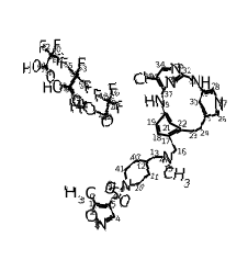 Cc1oncc1S(=O)(=O)N1CCC(CN(C)Cc2ccc3cc2CCc2cncc(c2)Nc2ncc(Cl)c(n2)N3)CC1.O=C(O)C(F)(F)F.O=C(O)C(F)(F)F.O=C(O)C(F)(F)F